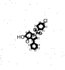 O=C1C(O)C=CC2C1C(c1ccccc1)=CN2S(=O)(=O)c1ccc(Cl)cc1